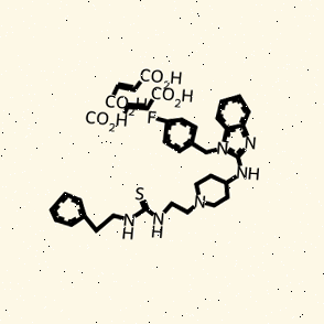 Fc1ccc(Cn2c(NC3CCN(CCNC(=S)NCCc4ccccc4)CC3)nc3ccccc32)cc1.O=C(O)C=CC(=O)O.O=C(O)C=CC(=O)O